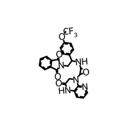 O=C1CN(C2OC2NC(CN2C(=O)c3ccccc3C2=O)c2ccc(OC(F)(F)F)cc2)c2ncccc2N1